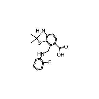 CC(C)(C)Sc1c(N)ccc(C(=O)O)c1CNc1ccccc1F